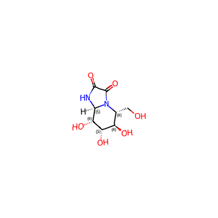 O=C1N[C@@H]2[C@@H](O)[C@@H](O)[C@H](O)[C@@H](CO)N2C1=O